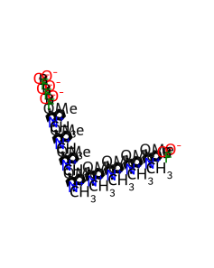 COc1cc[n+](C)c2ccccc12.COc1cc[n+](C)c2ccccc12.COc1cc[n+](C)c2ccccc12.COc1cc[n+](C)c2ccccc12.COc1cc[n+](C)c2ccccc12.COc1cc[n+](C)c2ccccc12.COc1cc[n+](C)c2ccccc12.COc1cc[n+](C)c2ccccc12.[O-]B([O-])F.[O-]B([O-])F.[O-]B([O-])F.[O-]B([O-])F